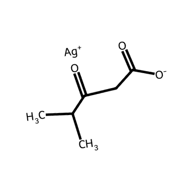 CC(C)C(=O)CC(=O)[O-].[Ag+]